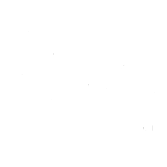 Cc1ccc2ccc3c(c2c1)CCC1=C3C=CCC1